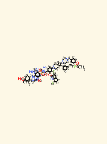 CC(F)Oc1ccc(CN2CCN(C3CC4(CCN(c5ccc(C(=O)NS(=O)(=O)c6cc([NH+](C)[O-])c(NC[C@H]7CC[C@](C)(O)CC7)c7[nH]cnc67)c(Oc6nc7c(cc6F)CC=C7F)c5)CC4)C3)[C@H](c3ccccc3C(C)C)C2)cc1